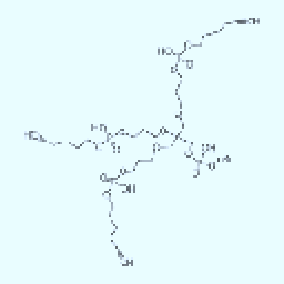 C#CCCCCOP(=O)(O)OCCCOCC(COCCCOP(=O)(O)OCCCCC#C)(COP(=O)(O)OCCCC)OCCCOP(=O)(O)OCCCCC#C